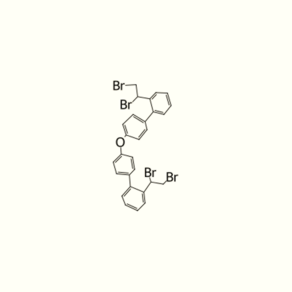 BrCC(Br)c1ccccc1-c1ccc(Oc2ccc(-c3ccccc3C(Br)CBr)cc2)cc1